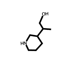 CC(CO)C1CCCNC1